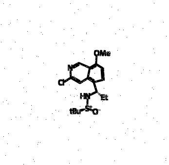 CC[C@H](N[S@@+]([O-])C(C)(C)C)c1ccc(OC)c2cnc(Cl)cc12